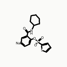 O=C(NC1CCCCC1)c1ccccc1OS(=O)(=O)c1cccs1.[NaH]